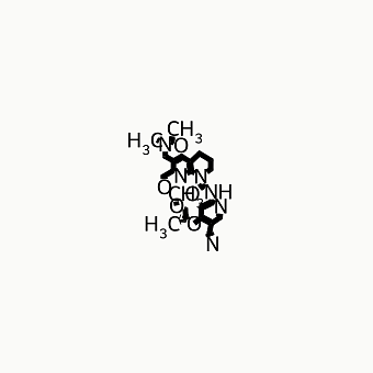 COC[C@H](C)Oc1cc(NC(=O)N2CCCc3cc(CN(C)C(C)=O)c(C=O)nc32)ncc1C#N